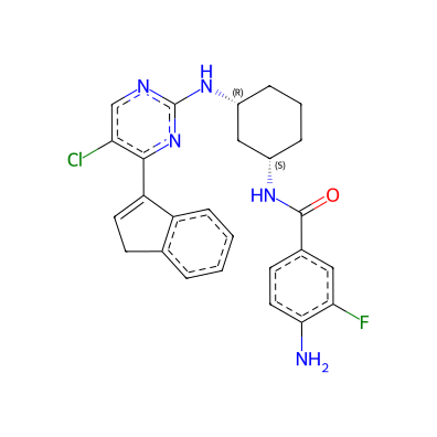 Nc1ccc(C(=O)N[C@H]2CCC[C@@H](Nc3ncc(Cl)c(C4=CCc5ccccc54)n3)C2)cc1F